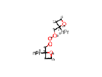 CCCC1(COOOCC2(CCC)CCO2)CCO1